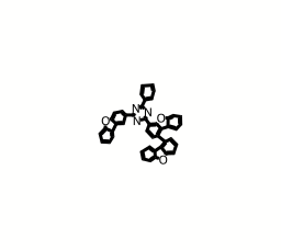 c1ccc(-c2nc(-c3ccc4oc5ccccc5c4c3)nc(-c3ccc(-c4cccc5oc6ccccc6c45)c4c3oc3ccccc34)n2)cc1